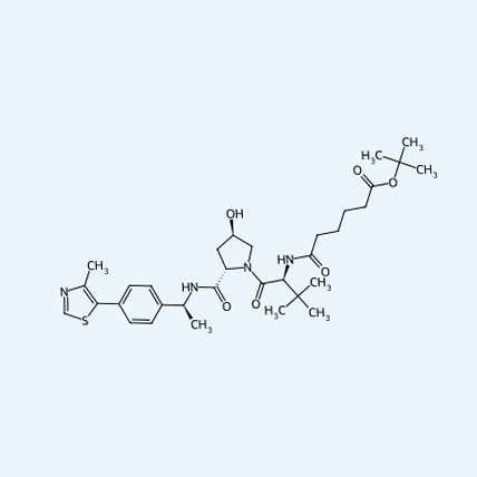 Cc1ncsc1-c1ccc([C@H](C)NC(=O)[C@@H]2C[C@@H](O)CN2C(=O)[C@@H](NC(=O)CCCCC(=O)OC(C)(C)C)C(C)(C)C)cc1